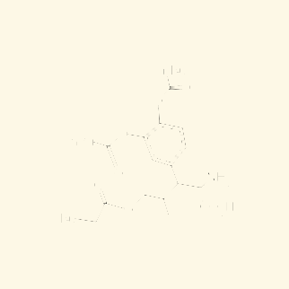 CCCCC(=O)Oc1ccc(C(C(C)COC(=O)CC(C)(C)C)[C@H](N)C(=O)O)cc1OC(=O)CCCC